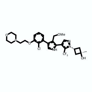 COCc1c(-c2cccc(OCCN3CCOCC3)c2Cl)c[nH]c1-c1cnn([C@H]2C[C@](C)(O)C2)c1C(F)(F)F